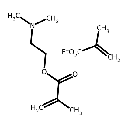 C=C(C)C(=O)OCC.C=C(C)C(=O)OCCN(C)C